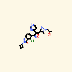 CC(O)Cn1ncc(-c2onc(-c3cccc(C(=O)NC4CCC4)c3Cl)c2-c2ccncn2)c1C(F)(F)F